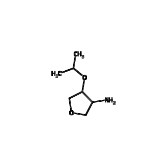 CC(C)OC1COCC1N